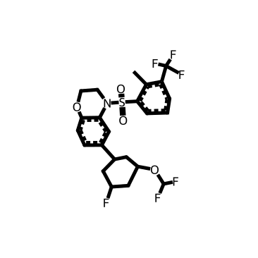 Cc1c(C(F)(F)F)cccc1S(=O)(=O)N1CCOc2ccc(C3CC(F)CC(OC(F)F)C3)cc21